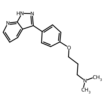 CN(C)CCCOc1ccc(-c2n[nH]c3ncccc23)cc1